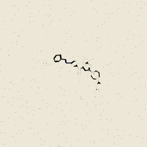 COc1cccc(/C=C/c2cnc(Nc3cc(N4CCCN(C(=O)OC(C)(C)C)CC4)nc(C)n3)s2)c1